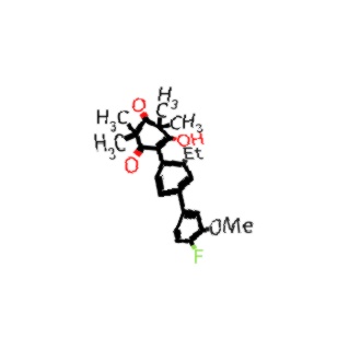 CCc1cc(-c2ccc(F)c(OC)c2)ccc1C1=C(O)C(C)(C)C(=O)C(C)(C)C1=O